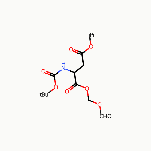 CC(C)OC(=O)CC(NC(=O)OC(C)(C)C)C(=O)OCOC=O